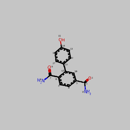 NC(=O)c1ccc(C(N)=O)c(-c2ccc(O)cc2)c1